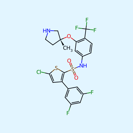 C[C@@]1(Oc2cc(NS(=O)(=O)c3sc(Cl)cc3-c3cc(F)cc(F)c3)ccc2C(F)(F)F)CCNC1